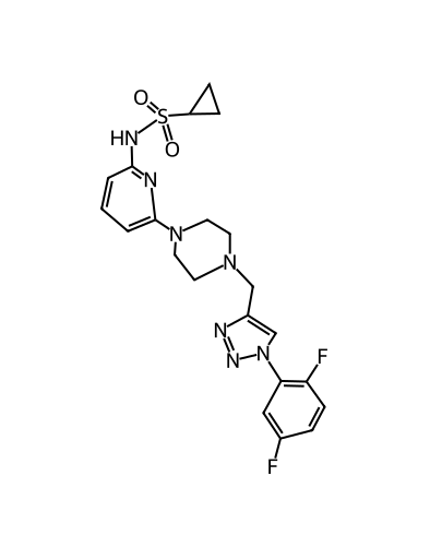 O=S(=O)(Nc1cccc(N2CCN(Cc3cn(-c4cc(F)ccc4F)nn3)CC2)n1)C1CC1